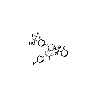 CC(=O)N(C[C@H]1CN(S(=O)(=O)C2=CC=CCC2=S)CCN1c1ccc(C(C)(O)C(F)(F)F)cc1)c1ccc(F)cc1